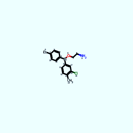 CCc1ccc(B(OCCN)c2ccc(C)c(Cl)c2)cc1